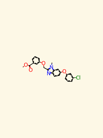 COC(=O)c1cccc(OCc2nc3ccc(Oc4cccc(Cl)c4)cc3n2C)c1